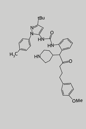 COc1ccc(CCCC(=O)C(c2ccccc2NC(=O)Nc2cc(C(C)(C)C)nn2-c2ccc(C)cc2)C2CCNCC2)cc1